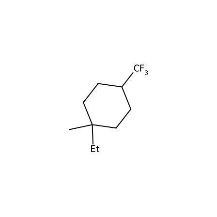 CCC1(C)CCC(C(F)(F)F)CC1